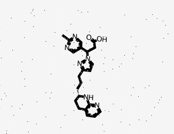 Cc1ncc(C(CC(=O)O)n2ccc(CCC[C@H]3CCc4cccnc4N3)n2)cn1